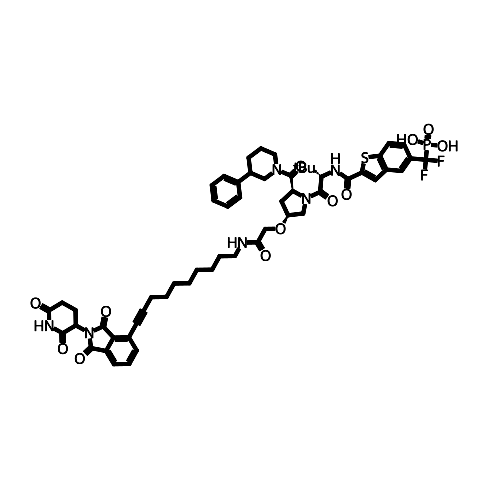 CC(C)(C)[C@H](NC(=O)c1cc2cc(C(F)(F)P(=O)(O)O)ccc2s1)C(=O)N1C[C@@H](OCC(=O)NCCCCCCCCC#Cc2cccc3c2C(=O)N(C2CCC(=O)NC2=O)C3=O)C[C@H]1C(=O)N1CCCC(c2ccccc2)C1